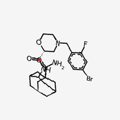 NC(=O)C12CC3CC(C1)C(NC(=O)[C@H]1CN(Cc4ccc(Br)cc4F)CCO1)C(C3)C2